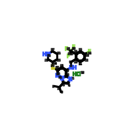 CC(C)c1cnc2c(NCc3ccc(F)cc3C(F)(F)F)cc(SC3CCCNC3)nn12.Cl